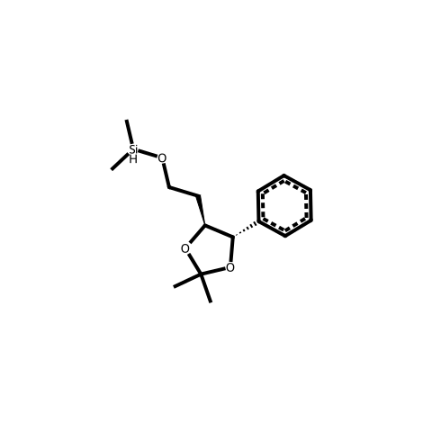 C[SiH](C)OCC[C@@H]1OC(C)(C)O[C@H]1c1ccccc1